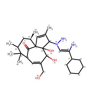 CC1=CC23C(=O)C(C=C(CO)C(O)C2(O)C1N(N)/C=C(\N)C1CCCCC1)C(C)(C)C(C)C[C@H]3C